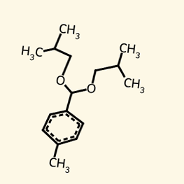 Cc1ccc(C(OCC(C)C)OCC(C)C)cc1